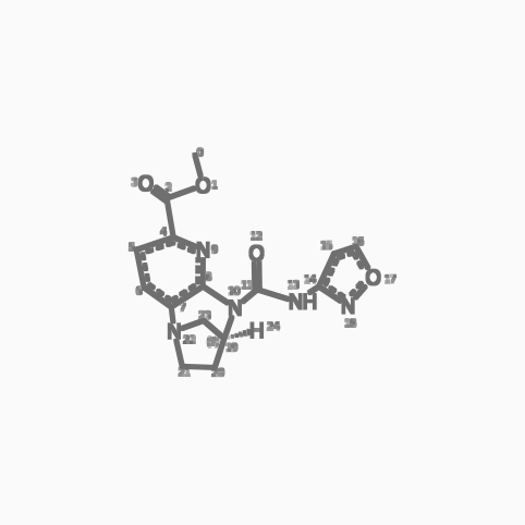 COC(=O)c1ccc2c(n1)N(C(=O)Nc1ccon1)[C@H]1CCN2C1